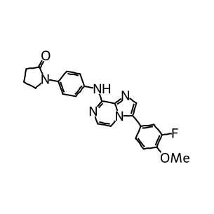 COc1ccc(-c2cnc3c(Nc4ccc(N5CCCC5=O)cc4)nccn23)cc1F